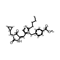 CCCCc1ncc(C=C2NC(=O)N(CC3CC3)C2=O)n1Cc1ccc(C(=O)OC)cc1